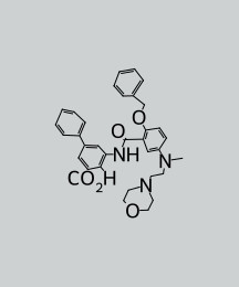 CN(CCN1CCOCC1)c1ccc(OCc2ccccc2)c(C(=O)Nc2cc(-c3ccccc3)ccc2C(=O)O)c1